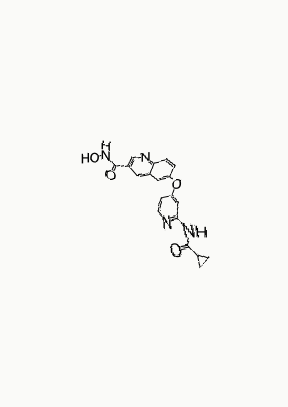 O=C(NO)c1cnc2ccc(Oc3ccnc(NC(=O)C4CC4)c3)cc2c1